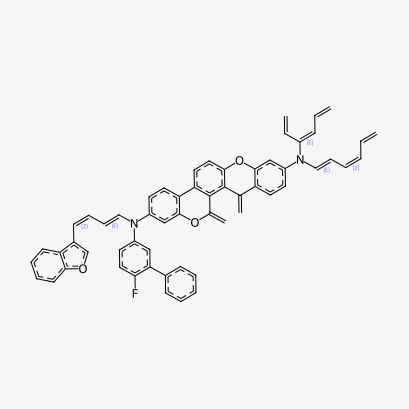 C=C/C=C\C=C\N(/C(C=C)=C/C=C)c1ccc2c(c1)Oc1ccc3c(c1C2=C)C(=C)Oc1cc(N(/C=C/C=C\c2coc4ccccc24)c2ccc(F)c(-c4ccccc4)c2)ccc1-3